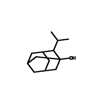 CC(C)[C]1C2CC3CC(C2)CC1(O)C3